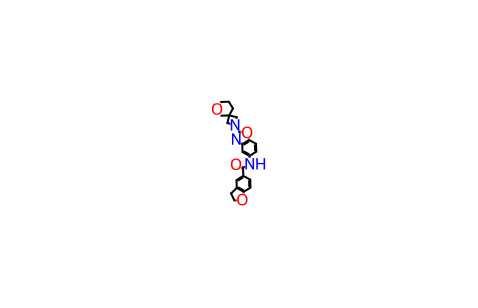 O=C(Nc1ccc2oc(N3CC4(CCCOC4)C3)nc2c1)c1ccc2c(c1)CCO2